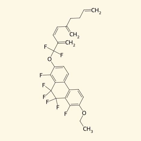 C=CCCC(=C)/C=C\C(=C)C(F)(F)Oc1ccc2c(c1F)C(F)(F)C(F)(F)c1c-2ccc(OCC)c1F